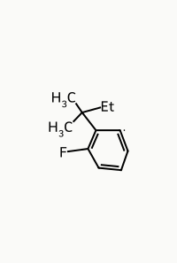 CCC(C)(C)c1[c]cccc1F